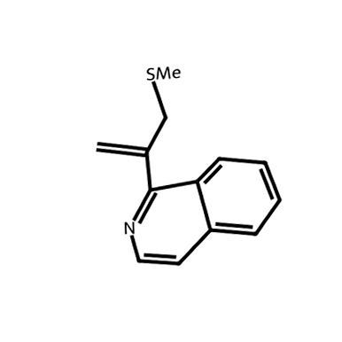 C=C(CSC)c1nccc2ccccc12